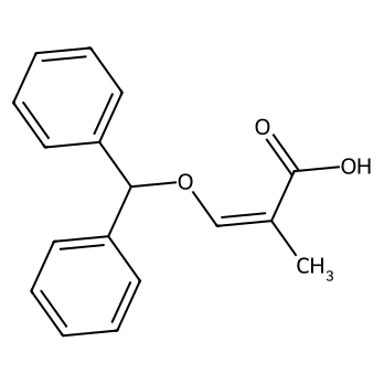 CC(=COC(c1ccccc1)c1ccccc1)C(=O)O